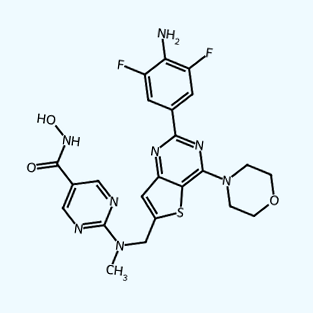 CN(Cc1cc2nc(-c3cc(F)c(N)c(F)c3)nc(N3CCOCC3)c2s1)c1ncc(C(=O)NO)cn1